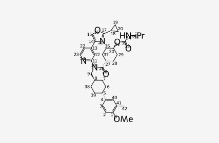 COc1ccc([C@H]2CC[C@H](CN(c3cc(-c4coc(C5CC5)n4)ccn3)C(=O)[C@H]3CC[C@H](OC(=O)NC(C)C)CC3)CC2)cc1C